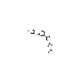 Cn1cc(Nc2cc(-c3cnn(C4CN(C(=O)CO)C4)c3)ccn2)cn1